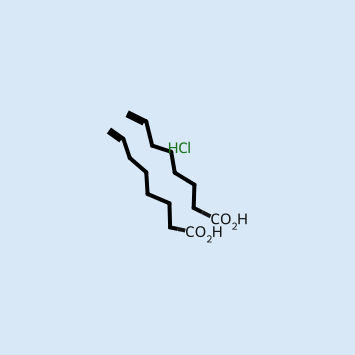 C=CCCCCCC(=O)O.C=CCCCCCC(=O)O.Cl